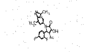 CC(=O)C1=C(O)C(=O)N(c2cc(C)c3nnc(C)n3c2)C1c1ccc(F)cc1F